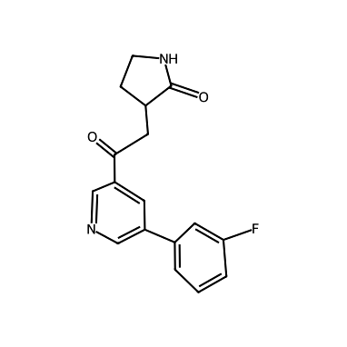 O=C(CC1CCNC1=O)c1cncc(-c2cccc(F)c2)c1